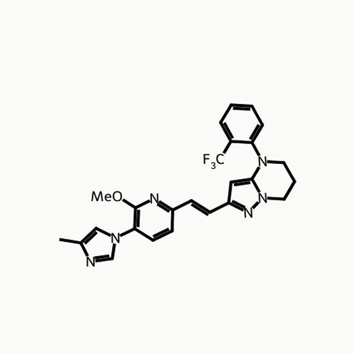 COc1nc(C=Cc2cc3n(n2)CCCN3c2ccccc2C(F)(F)F)ccc1-n1cnc(C)c1